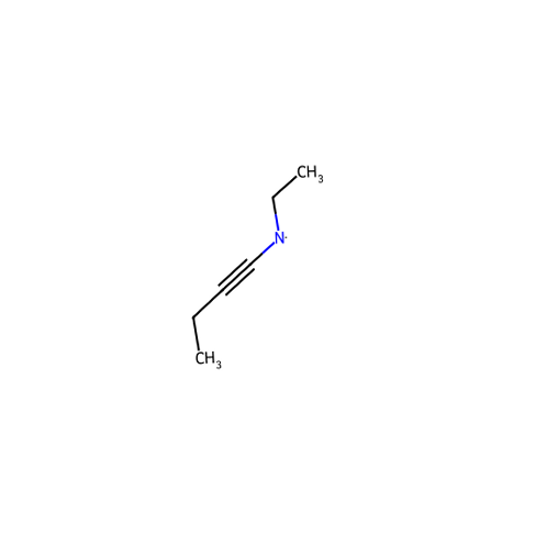 CCC#C[N]CC